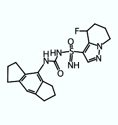 N=S(=O)(NC(=O)Nc1c2c(cc3c1CCC3)CCC2)c1cnn2c1C(F)CCC2